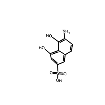 Nc1ccc2cc(S(=O)(=O)O)cc(O)c2c1O